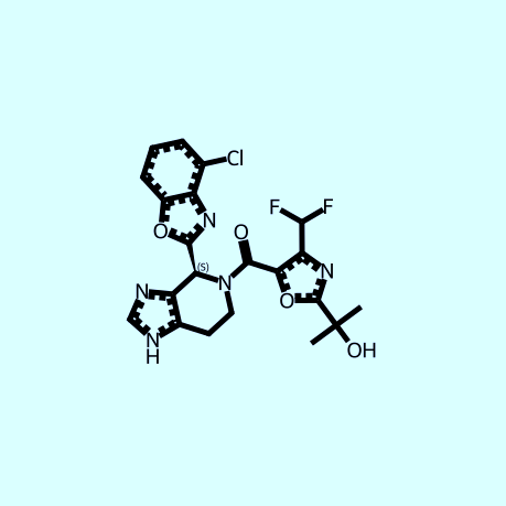 CC(C)(O)c1nc(C(F)F)c(C(=O)N2CCc3[nH]cnc3[C@H]2c2nc3c(Cl)cccc3o2)o1